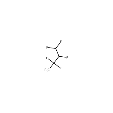 F[C](F)C(F)C(F)(F)C(F)(F)F